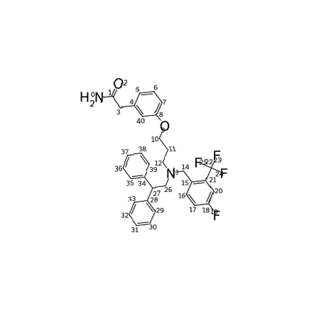 NC(=O)Cc1cccc(OCCCN(Cc2ccc(F)cc2C(F)(F)F)CC(c2ccccc2)c2ccccc2)c1